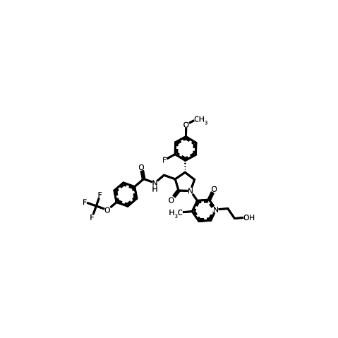 COc1ccc([C@@H]2CN(c3c(C)ccn(CCO)c3=O)C(=O)C2CNC(=O)c2ccc(OC(F)(F)F)cc2)c(F)c1